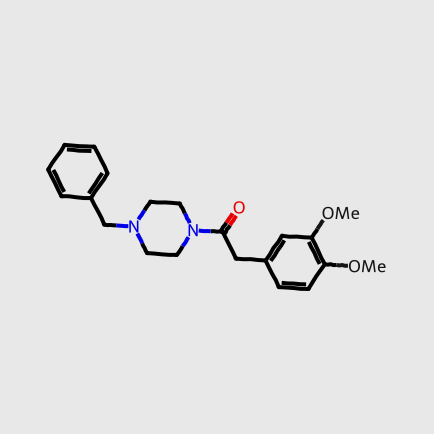 COc1ccc(CC(=O)N2CCN(Cc3ccccc3)CC2)cc1OC